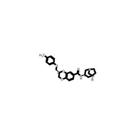 Cc1ccc(OC[C@@H]2COc3ccc(C(=O)N[C@@H]4C[C@@H]5CCN(C5)C4)cc3O2)cc1